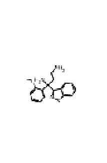 COc1ccccc1C(N)(CCN)c1nsc2ccccc12